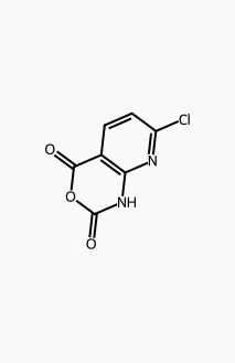 O=c1[nH]c2nc(Cl)ccc2c(=O)o1